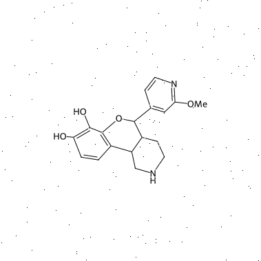 COc1cc(C2Oc3c(ccc(O)c3O)C3CNCCC32)ccn1